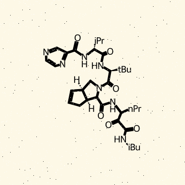 CCCC(NC(=O)C1[C@H]2CC=C[C@H]2CN1C(=O)[C@@H](NC(=O)[C@H](NC(=O)c1cnccn1)C(C)C)C(C)(C)C)C(=O)C(=O)N[C@@H](C)CC